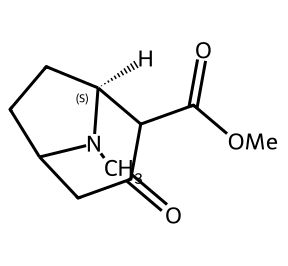 COC(=O)C1C(=O)CC2CC[C@@H]1N2C